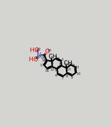 CC12C=CC3=C(C=CC4=CC=CCC43C)C1=CC=C2C(=O)N(O)O